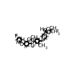 Cc1cc(N(C(=O)C2CCC(Oc3ccc(F)cn3)CC2)C(C)C)ccc1CN1CCN(C(=O)OC(C)(C)C)CC1